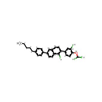 CCCCCc1ccc(-c2ccc3c(F)c(-c4ccc(OC(F)F)c(F)c4)ccc3c2)cc1